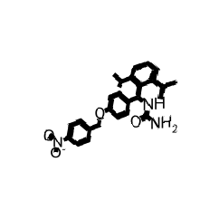 CC(C)c1cccc(C(C)C)c1C(NC(N)=O)c1ccc(OCc2ccc([N+](=O)[O-])cc2)cc1